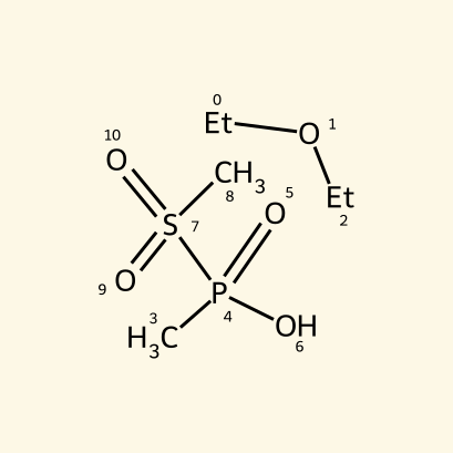 CCOCC.CP(=O)(O)S(C)(=O)=O